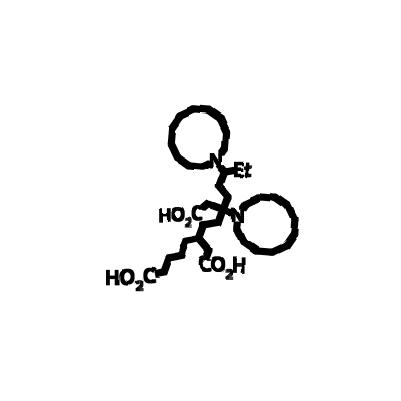 CCC(CCC(CCC(CCCCC(=O)O)CC(=O)O)(CC(=O)O)N1CCCCCCCCCCC1)N1CCCCCCCCCCC1